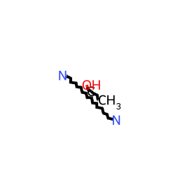 CCCCCCO.N#CCCCCCCCCCCCCCCCCC#N